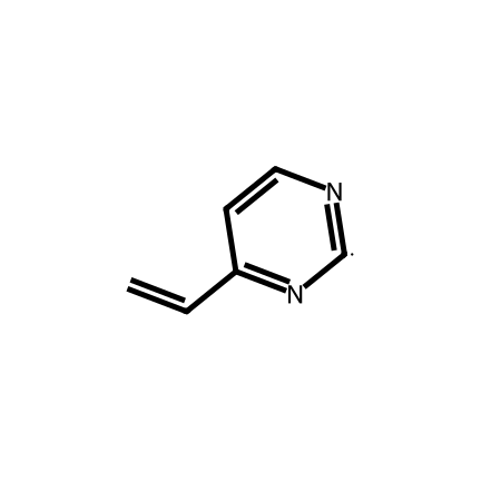 C=Cc1ccn[c]n1